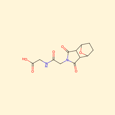 O=C(O)CNC(=O)CN1C(=O)C2C3CCC(O3)C2C1=O